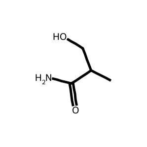 CC(CO)C(N)=O